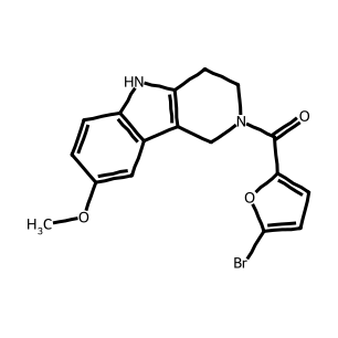 COc1ccc2[nH]c3c(c2c1)CN(C(=O)c1ccc(Br)o1)CC3